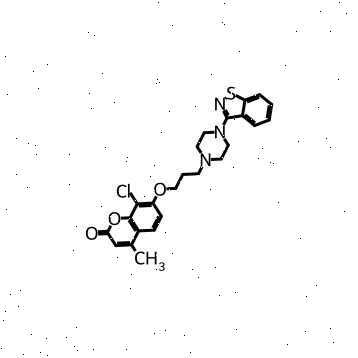 Cc1cc(=O)oc2c(Cl)c(OCCCN3CCN(c4nsc5ccccc45)CC3)ccc12